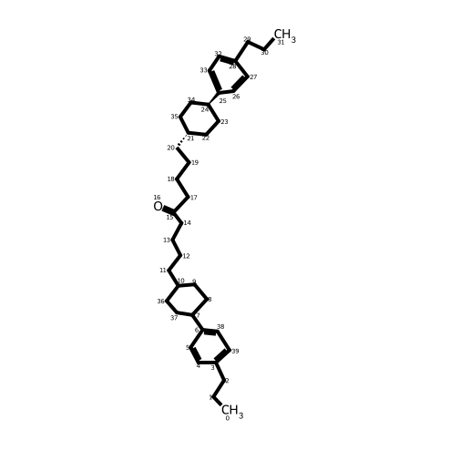 CCCc1ccc(C2CCC(CCCCC(=O)CCCC[C@H]3CC[C@H](c4ccc(CCC)cc4)CC3)CC2)cc1